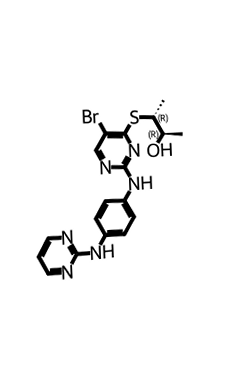 C[C@@H](O)[C@@H](C)Sc1nc(Nc2ccc(Nc3ncccn3)cc2)ncc1Br